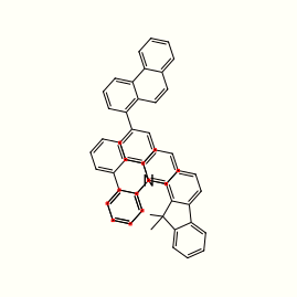 CC1(C)c2ccccc2-c2cccc(N(c3ccc(-c4cccc5c4ccc4ccccc45)cc3)c3ccccc3-c3ccccc3-c3ccccc3-c3ccccc3)c21